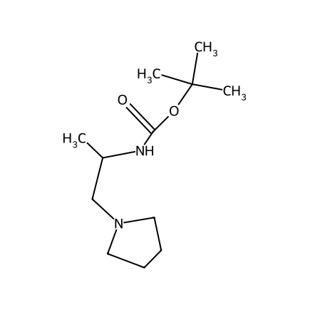 CC(CN1CCCC1)NC(=O)OC(C)(C)C